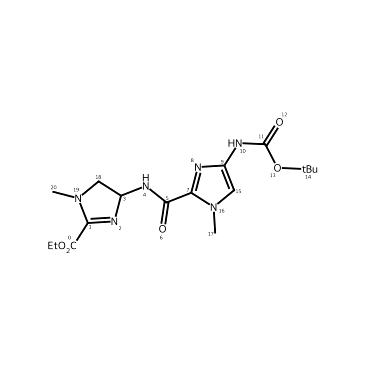 CCOC(=O)C1=NC(NC(=O)c2nc(NC(=O)OC(C)(C)C)cn2C)CN1C